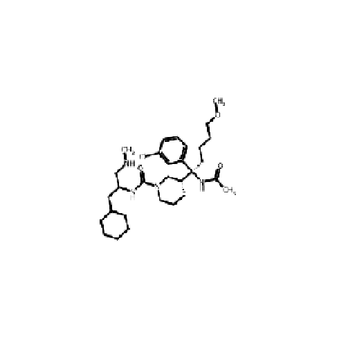 CNCC(CC1CCCCC1)NC(=O)N1CCC[C@@H]([C@](CCCCOC)(NC(C)=O)c2cccc(Cl)c2)C1